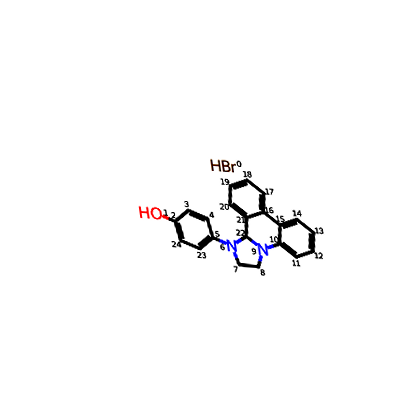 Br.Oc1ccc(N2CCN3c4ccccc4-c4ccccc4C23)cc1